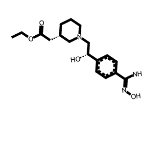 CCOC(=O)C[C@@H]1CCCN(C[C@@H](O)c2ccc(/C(N)=N/O)cc2)C1